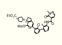 CCOC(=O)[C@H]1CCN([C@@H]2CCc3cc(-c4cccc(-c5cccc(NC(=O)c6ccnn(C)c6=O)c5C)c4Cl)nc(OC)c32)C1